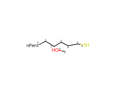 CCCCCCCCCCS.CO